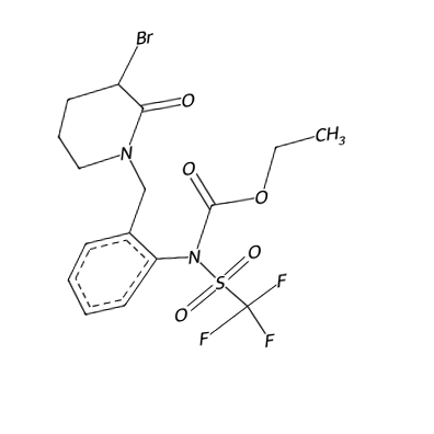 CCOC(=O)N(c1ccccc1CN1CCCC(Br)C1=O)S(=O)(=O)C(F)(F)F